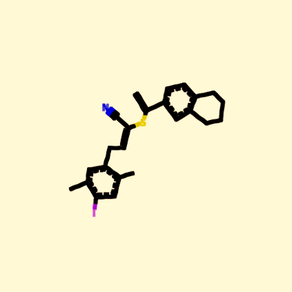 C=C(S/C(C#N)=C/Cc1cc(C)c(I)cc1C)c1ccc2c(c1)CCCC2